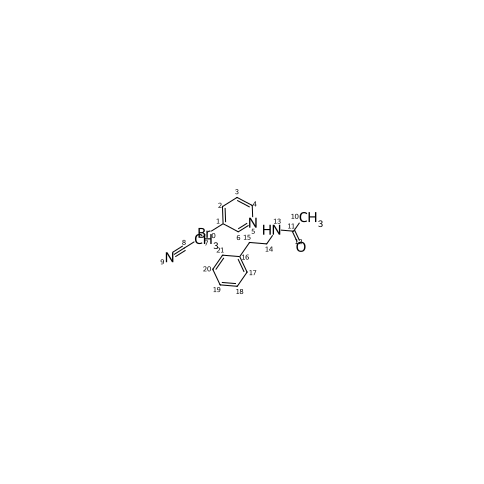 Brc1cccnc1.CC#N.CC(=O)NCCc1ccccc1